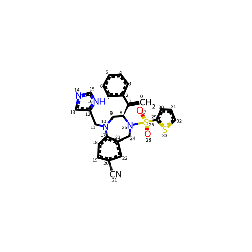 C=C(c1ccccc1)[C@@H]1CN(Cc2cnc[nH]2)c2ccc(C#N)cc2CN1S(=O)(=O)c1cccs1